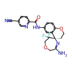 N#Cc1ccc(C(=O)Nc2ccc3c(c2)[C@@]2(CCO3)N=C(N)COCC2(F)F)nc1